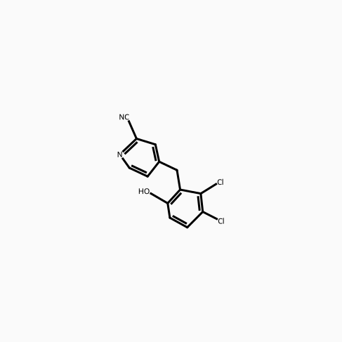 N#Cc1cc(Cc2c(O)ccc(Cl)c2Cl)ccn1